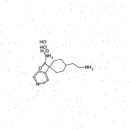 Cl.Cl.NCCC1CCC(C(N)=O)(c2ccncc2)CC1.O